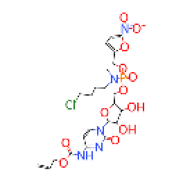 C=CCOC(=O)Nc1ccn(C2OC(COP(=O)(OCc3ccc([N+](=O)[O-])o3)N(C)CCCCCl)C(O)C2O)c(=O)n1